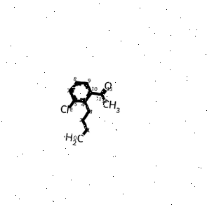 [CH2]CCCc1c(Cl)cccc1C(C)=O